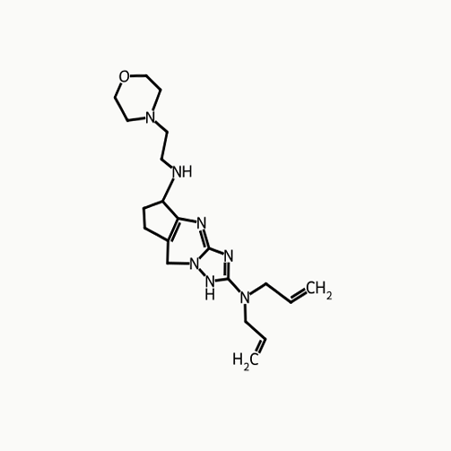 C=CCN(CC=C)C1=NC2=NC3=C(CCC3NCCN3CCOCC3)CN2N1